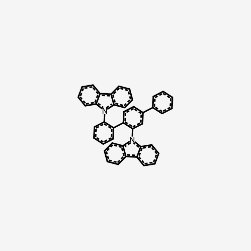 c1ccc(-c2ccc(-c3ccccc3-n3c4ccccc4c4ccccc43)c(-n3c4ccccc4c4ccccc43)c2)cc1